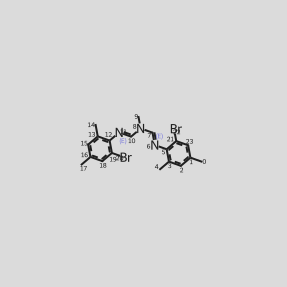 Cc1cc(C)c(/N=C/N(C)/C=N/c2c(C)cc(C)cc2Br)c(Br)c1